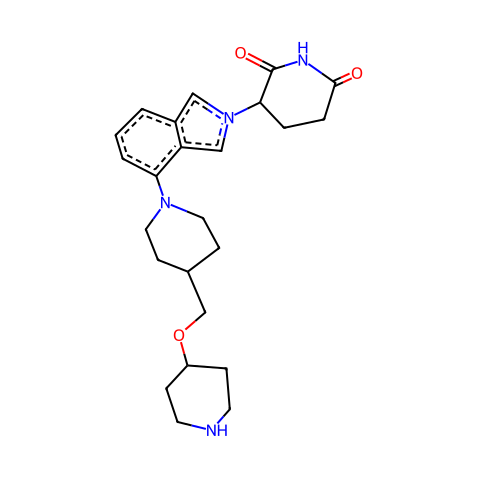 O=C1CCC(n2cc3cccc(N4CCC(COC5CCNCC5)CC4)c3c2)C(=O)N1